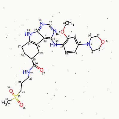 COc1cc(N2CCOCC2)ccc1Nc1ncnc2[nH]c3c(c12)C[C@@H](C(=O)NCCCS(C)(=O)=O)CC3